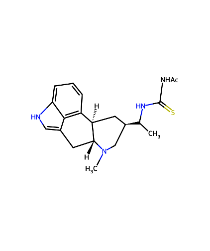 CC(=O)NC(=S)NC(C)[C@@H]1C[C@@H]2c3cccc4[nH]cc(c34)C[C@H]2N(C)C1